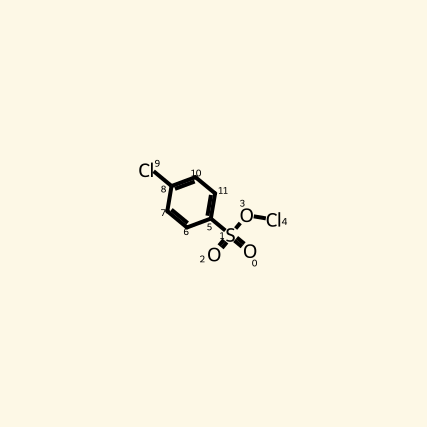 O=S(=O)(OCl)c1ccc(Cl)cc1